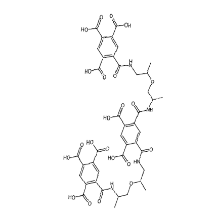 CC(COC(C)CNC(=O)c1cc(C(=O)NC(C)COC(C)CNC(=O)c2cc(C(=O)O)c(C(=O)O)cc2C(=O)O)c(C(=O)O)cc1C(=O)O)NC(=O)c1cc(C(=O)O)c(C(=O)O)cc1C(=O)O